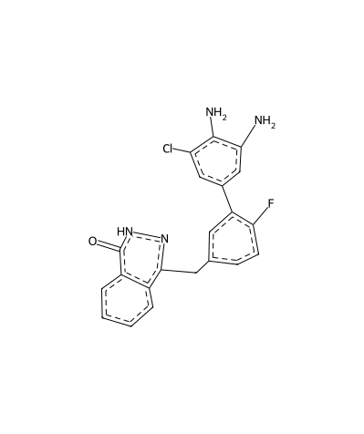 Nc1cc(-c2cc(Cc3n[nH]c(=O)c4ccccc34)ccc2F)cc(Cl)c1N